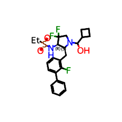 CCS(=O)(=O)N[C@@H]1[C@H](Cc2cccc(-c3ccccc3)c2F)N(C(O)C2CCC2)CC1(F)F